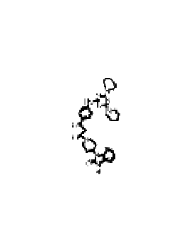 O=C(CC(=O)N1CCC(n2c(=O)[nH]c3ccccc32)CC1)c1ccc(Nc2nc(N3CCCCC3)nc(N3CCCCC3)n2)cc1